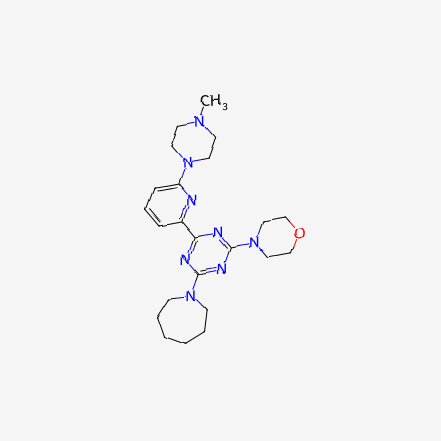 CN1CCN(c2cccc(-c3nc(N4CCCCCC4)nc(N4CCOCC4)n3)n2)CC1